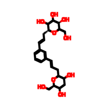 OCC1O[C@H](C/C=C/c2cccc(/C=C/CC3O[C@H](CO)C(O)C[C@@H]3O)c2)C(O)C(O)[C@@H]1O